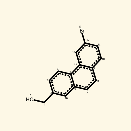 OCc1ccc2c(ccc3ccc(Br)cc32)c1